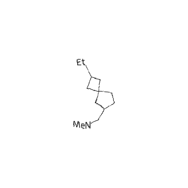 CCC1CC2(CCC(CNC)C2)C1